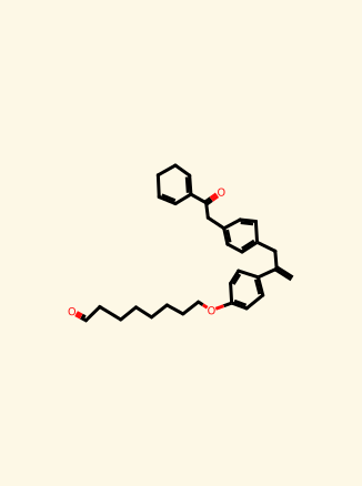 C=C(Cc1ccc(CC(=O)C2=CCCC=C2)cc1)c1ccc(OCCCCCCCC=O)cc1